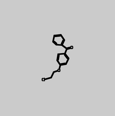 O=C(c1ccccc1)c1ccc(OCCCl)cc1